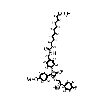 COc1ccc(C2[C@@H](CCC(O)c3ccc(F)cc3)C(=O)N2c2ccc(CNC(=O)CCCCCCCCCCC(=O)O)cc2)cc1